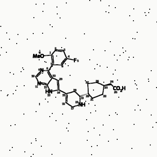 COc1ccc(F)cc1-c1ncnc2[nH]c(C3=CCNC([C@H]4CC[C@H](CC(=O)O)CC4)C3)cc12